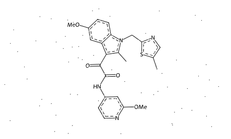 COc1ccc2c(c1)c(C(=O)C(=O)Nc1ccnc(OC)c1)c(C)n2Cc1ncc(C)s1